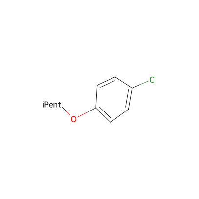 CC[CH]C(C)Oc1ccc(Cl)cc1